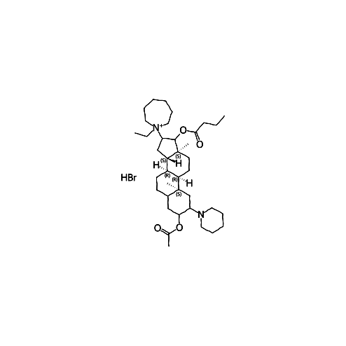 Br.CCCC(=O)OC1C([N+]2(CC)CCCCCC2)C[C@H]2[C@@H]3CCC4CC(OC(C)=O)C(N5CCCCC5)C[C@]4(C)[C@@H]3CC[C@]12C